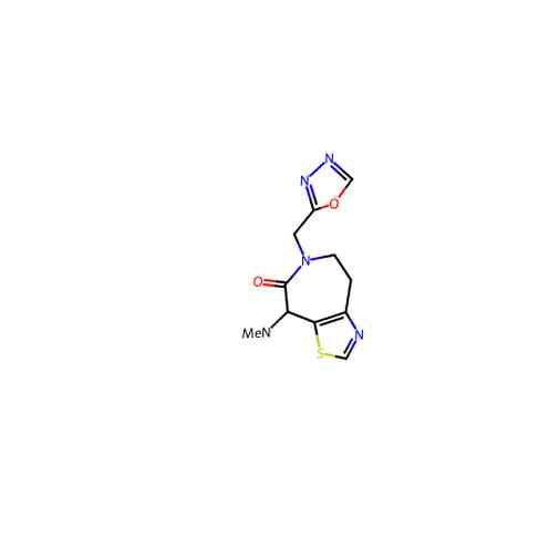 CNC1C(=O)N(Cc2nnco2)CCc2ncsc21